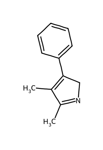 CC1=NCC(c2ccccc2)=C1C